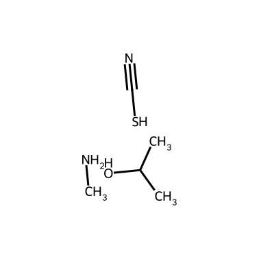 CC(C)O.CN.N#CS